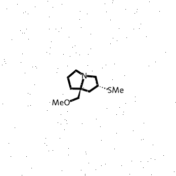 COC[C@@]12CCCN1C[C@H](SC)C2